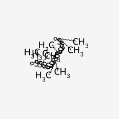 CCCCCCCCCCc1cc(-c2ccccc2)sc1-c1cc(CCCCCC)c(-c2ccc(-c3ccc(-c4sc(-c5sc(-c6cc(CCCCCC)c(-c7cc(CCCCCC)c(-c8ccc(-c9ccc(-c%10sc(-c%11sc(-c%12ccccc%12)cc%11CCCCCC)cc%10CCCCCC)s9)s8)s7)s6)cc5CCCCCC)cc4CCCCCC)s3)s2)s1